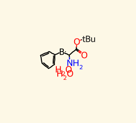 CC(C)(C)OC(=O)C(N)[B]c1ccccc1.O.O